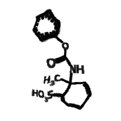 CC1(NC(=O)Oc2ccccc2)C=CC=CC1S(=O)(=O)O